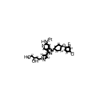 CCNc1cc2c(cn1)c(-c1cnn(CC[C@@H](O)CO)c1)nn2C1CCC(Oc2ccc(Cl)cc2F)CC1